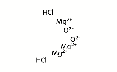 Cl.Cl.[Mg+2].[Mg+2].[Mg+2].[O-2].[O-2]